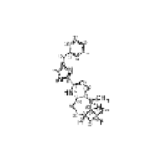 CN1C(=O)[C@@H](NC(=O)c2ncn(Cc3ccccc3)n2)CC[C@H]2CC(F)(F)[C@H]21